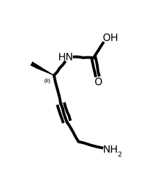 C[C@H](C#CCN)NC(=O)O